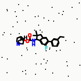 CCc1cccc(-c2cc3c(cc2F)C(NC(=O)O[C@H]2CN4CCC2CC4)C(C)(C)C3)c1